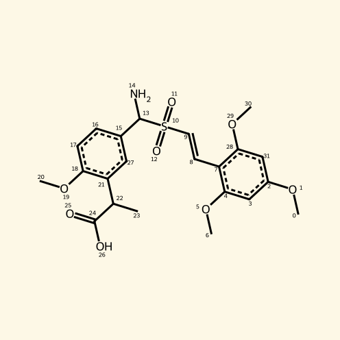 COc1cc(OC)c(/C=C/S(=O)(=O)C(N)c2ccc(OC)c(C(C)C(=O)O)c2)c(OC)c1